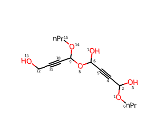 CCCOC(O)C#CC(O)OC(C#CCO)OCCC